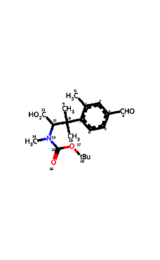 Cc1cc(C=O)ccc1C(C)(C)C(C(=O)O)N(C)C(=O)OC(C)(C)C